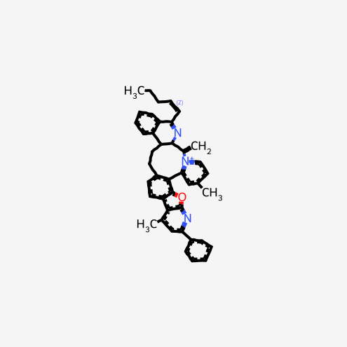 C=C1C2N=C(/C=C\CCC)c3ccccc3C2CCc2ccc3c(oc4nc(-c5ccccc5)cc(C)c43)c2-c2cc(C)cc[n+]21